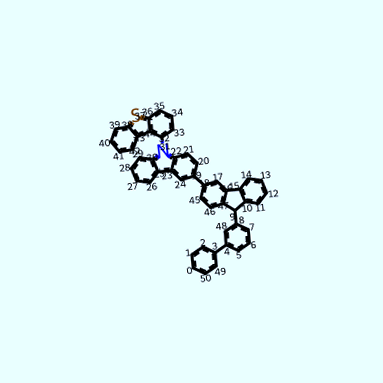 c1ccc(-c2cccc(C3c4ccccc4-c4cc(-c5ccc6c(c5)c5ccccc5n6-c5cccc6sc7ccccc7c56)ccc43)c2)cc1